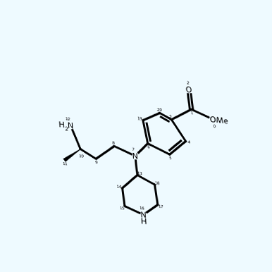 COC(=O)c1ccc(N(CC[C@@H](C)N)C2CCNCC2)cc1